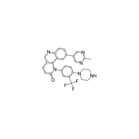 Cc1ncc(-c2ccc3ncc4ccc(=O)n(-c5ccc(N6CCNCC6)c(C(F)(F)F)c5)c4c3c2)cn1